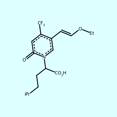 CCO/C=C/c1cn(C(CCC(C)C)C(=O)O)c(=O)cc1C(F)(F)F